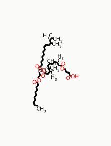 CC/C=C\CCCCCCCC(=O)OCC(COC(=O)CCCCCCC/C=C\CC(C)CC(C)C)OC(=O)CC(C)C(C)(C)CC(C)CCC(C)CC(=O)OCCCC(=O)O